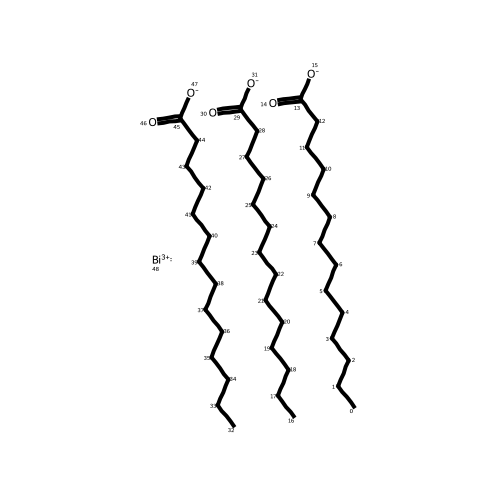 CCCCCCCCCCCCCC(=O)[O-].CCCCCCCCCCCCCC(=O)[O-].CCCCCCCCCCCCCC(=O)[O-].[Bi+3]